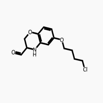 O=CC1COc2ccc(OCCCCCl)cc2N1